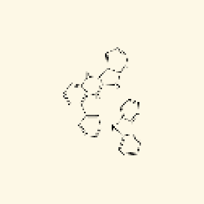 c1cc(-c2cccc3nc4c(nc23)sc2ccccc24)cc(-n2c3ccccc3c3ccccc32)c1